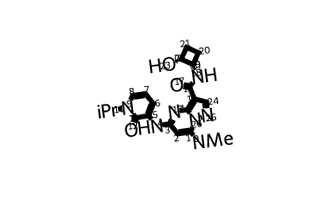 CNc1cc(Nc2cccn(C(C)C)c2=O)nc2c(C(=O)N[C@@H]3CC[C@@H]3O)cnn12